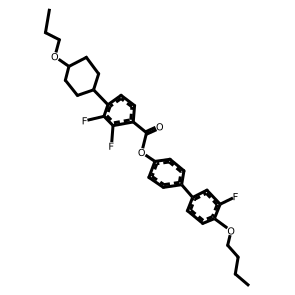 CCCCOc1ccc(-c2ccc(OC(=O)c3ccc(C4CCC(OCCC)CC4)c(F)c3F)cc2)cc1F